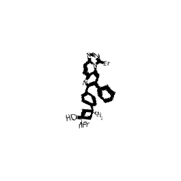 CCC[C@]1(O)C[C@@](N)(c2ccc(-c3nc4ccc5nnc(CC)n5c4cc3-c3ccccc3)cc2)C1